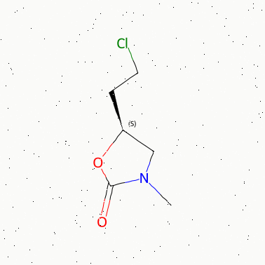 CN1C[C@H](CCCl)OC1=O